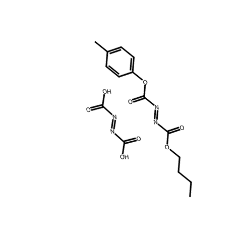 CCCCOC(=O)N=NC(=O)Oc1ccc(C)cc1.O=C(O)N=NC(=O)O